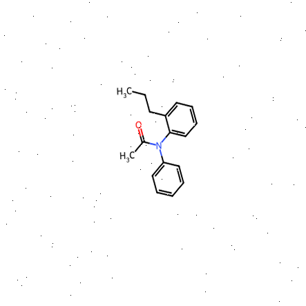 CCCc1ccccc1N(C(C)=O)c1ccccc1